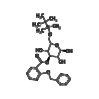 CC(C)(C)[Si](C)(C)OCC1O[C@@H](O)C(O)[C@@H](OC(=O)c2ccccc2OCc2ccccc2)C1O